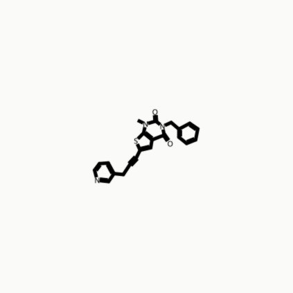 Cn1c(=O)n(Cc2ccccc2)c(=O)c2cc(C#CCc3cccnc3)sc21